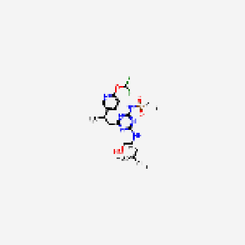 CC(C)C[C@H](CO)Nc1nc(CC(C)c2ccc(OC(F)F)nc2)nc(NS(C)(=O)=O)n1